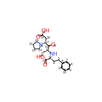 C[C@H](N[C@@H](CCc1ccccc1)C(=O)O)C(=O)[C@H](CC(=O)O)N1CCCC1